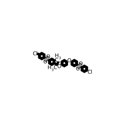 CCC(C)(Oc1ccc(Oc2ccc(S(=O)(=O)c3ccc(Cl)cc3)cc2)cc1)c1ccc(S(=O)(=O)c2ccc(Cl)cc2)cc1